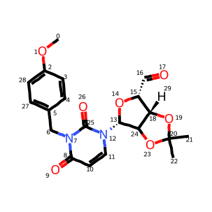 COc1ccc(Cn2c(=O)ccn([C@@H]3O[C@H](C=O)[C@@H]4OC(C)(C)OC43)c2=O)cc1